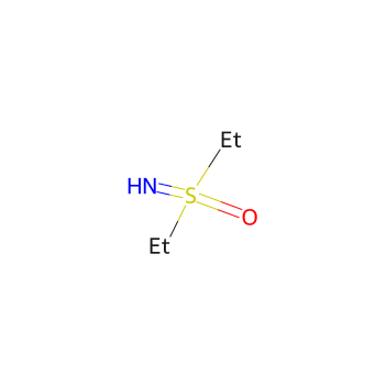 CCS(=N)(=O)CC